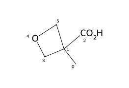 CC1(C(=O)O)COC1